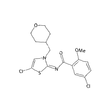 COc1ccc(Cl)cc1C(=O)N=c1sc(Cl)cn1CC1CCOCC1